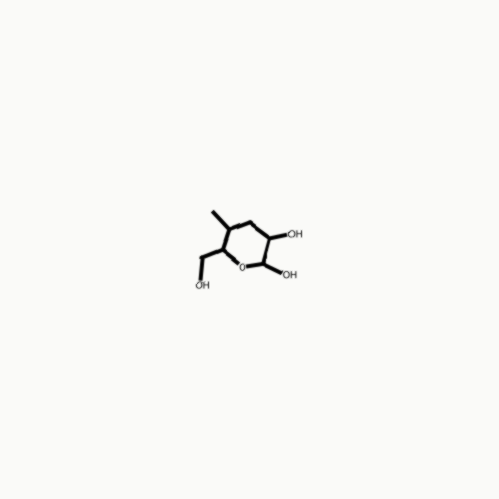 CC1CC(O)C(O)OC1CO